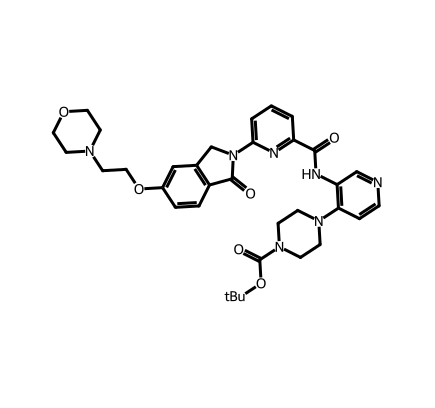 CC(C)(C)OC(=O)N1CCN(c2ccncc2NC(=O)c2cccc(N3Cc4cc(OCCN5CCOCC5)ccc4C3=O)n2)CC1